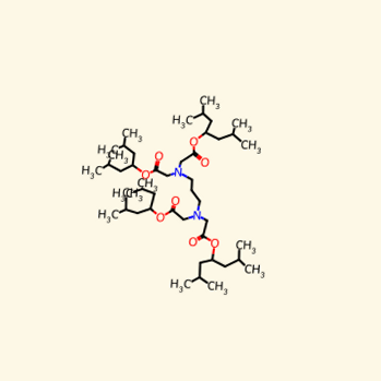 CC(C)CC(CC(C)C)OC(=O)CN(CCCN(CC(=O)OC(CC(C)C)CC(C)C)CC(=O)OC(CC(C)C)CC(C)C)CC(=O)OC(CC(C)C)CC(C)C